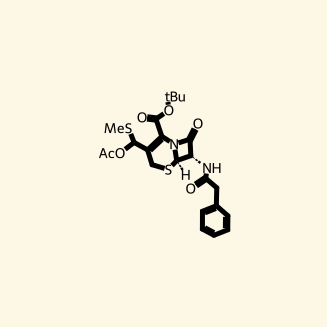 CSC(OC(C)=O)C1=C(C(=O)OC(C)(C)C)N2C(=O)[C@H](NC(=O)Cc3ccccc3)[C@H]2SC1